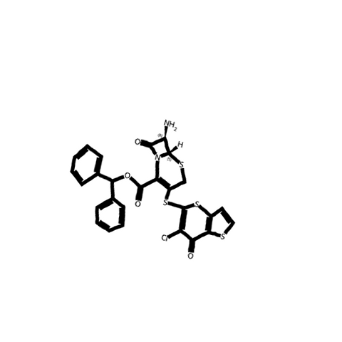 N[C@@H]1C(=O)N2C(C(=O)OC(c3ccccc3)c3ccccc3)=C(Sc3sc4ccsc4c(=O)c3Cl)CS[C@@H]12